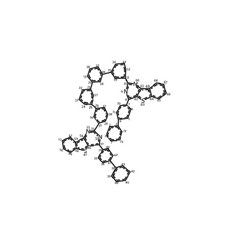 c1ccc(-c2ccc(-c3nc(-c4cccc(-c5cccc(-c6cccc(-c7cccc(-c8nc(-c9ccc(-c%10ccccc%10)cc9)c9sc%10ccccc%10c9n8)c7)c6)c5)c4)nc4c3sc3ccccc34)cc2)cc1